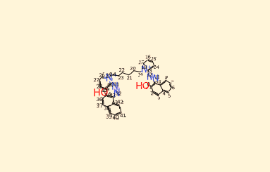 Oc1ccc2ccccc2c1N=Nc1cccc[n+]1CCCCCC[n+]1ccccc1/N=N\c1c(O)ccc2ccccc12